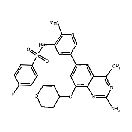 COc1ncc(-c2cc(OC3CCOCC3)c3nc(N)nc(C)c3c2)cc1NS(=O)(=O)c1ccc(F)cc1